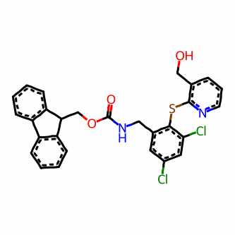 O=C(NCc1cc(Cl)cc(Cl)c1Sc1ncccc1CO)OCC1c2ccccc2-c2ccccc21